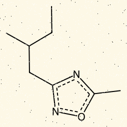 CCC(C)Cc1noc(C)n1